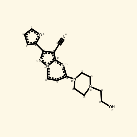 N#Cc1c(-c2ccco2)nn2ccc(N3CCN(CCO)CC3)nc12